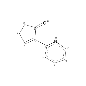 O=C1CCC=C1c1ccccn1